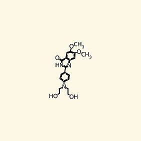 COc1cc2nc(-c3ccc(N(CCO)CCO)cc3)[nH]c(=O)c2cc1OC